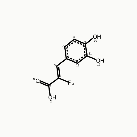 O=C(O)/C(F)=C/c1ccc(O)c(O)c1